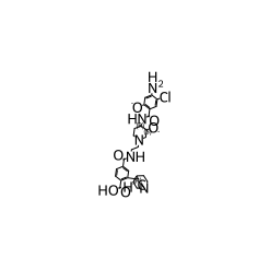 COc1cc(N)c(Cl)cc1C(=O)N[C@@H]1CCN(CCNC(=O)c2ccc(C(=O)O)c([C@@H]3CN4CCC3CC4)c2)C[C@@H]1OC